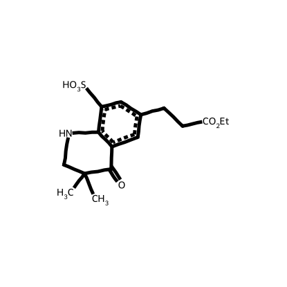 CCOC(=O)CCc1cc2c(c(S(=O)(=O)O)c1)NCC(C)(C)C2=O